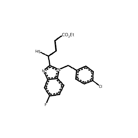 CCOC(=O)CCC(S)c1nc2cc(F)ccc2n1Cc1ccc(Cl)cc1